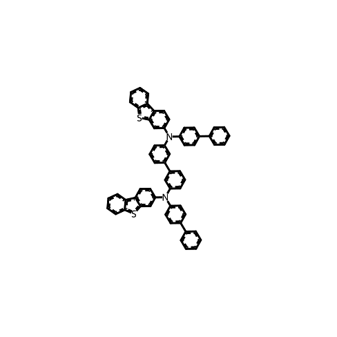 c1ccc(-c2ccc(N(c3cccc(-c4cccc(N(c5ccc(-c6ccccc6)cc5)c5ccc6c(c5)sc5ccccc56)c4)c3)c3ccc4c(c3)sc3ccccc34)cc2)cc1